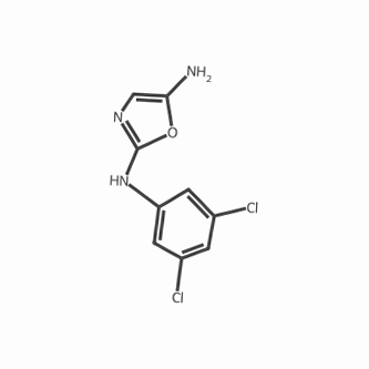 Nc1cnc(Nc2cc(Cl)cc(Cl)c2)o1